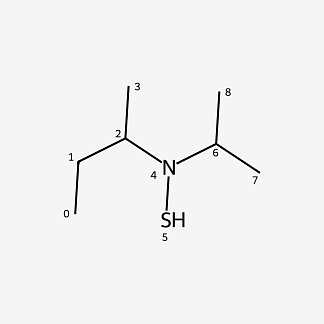 CCC(C)N(S)C(C)C